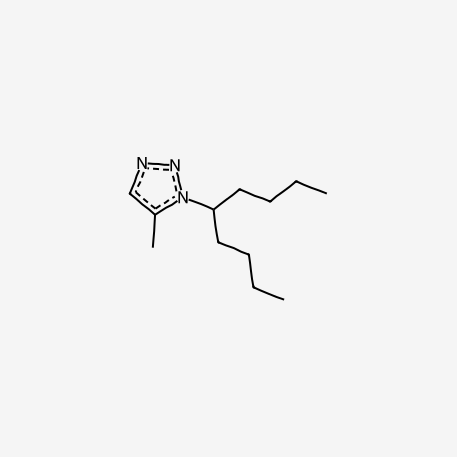 CCCCC(CCCC)n1nncc1C